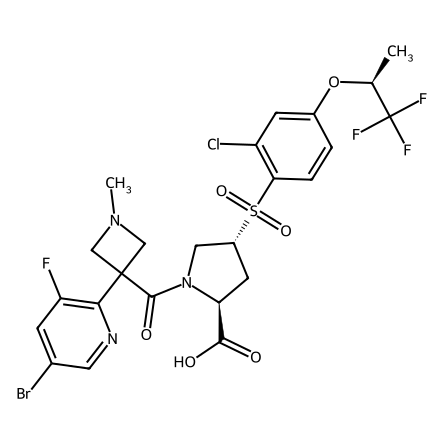 C[C@H](Oc1ccc(S(=O)(=O)[C@@H]2C[C@@H](C(=O)O)N(C(=O)C3(c4ncc(Br)cc4F)CN(C)C3)C2)c(Cl)c1)C(F)(F)F